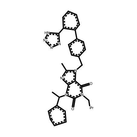 Cc1nc2c(c(=O)n(CC(C)C)c(=O)n2C(C)c2ccccc2)n1Cc1ccc(-c2ccccc2-c2nnn[nH]2)cc1